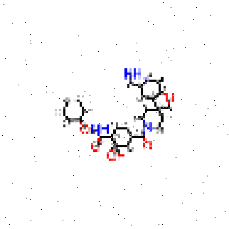 NCC1CCC2OCC3(CCN(C(=O)C4CCC(C(=O)NOC5CCCCC5)C(O)C4)CC3)C2C1